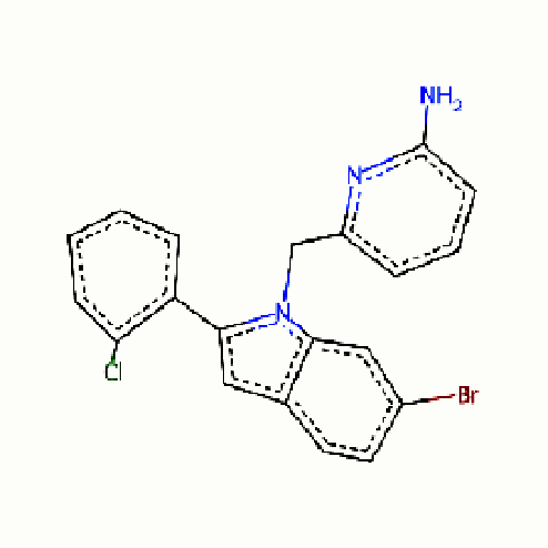 Nc1cccc(Cn2c(-c3ccccc3Cl)cc3ccc(Br)cc32)n1